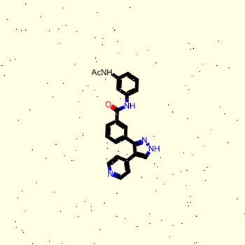 CC(=O)Nc1cccc(NC(=O)c2cccc(-c3n[nH]cc3-c3ccncc3)c2)c1